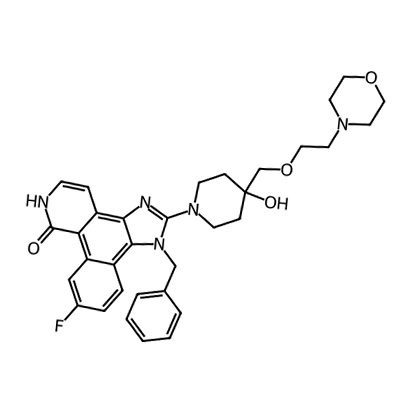 O=c1[nH]ccc2c3nc(N4CCC(O)(COCCN5CCOCC5)CC4)n(Cc4ccccc4)c3c3ccc(F)cc3c12